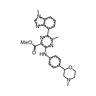 COC(=O)c1nc(-c2cccc3c2ncn3C)c(C)nc1Nc1ccc(C2CN(C)CCO2)cc1